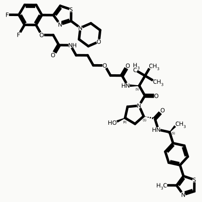 Cc1ncsc1-c1ccc([C@H](C)NC(=O)[C@@H]2C[C@@H](O)CN2C(=O)[C@@H](NC(=O)COCCCNC(=O)COc2c(-c3csc(N4CCOCC4)n3)ccc(F)c2F)C(C)(C)C)cc1